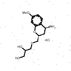 COc1ccc2c(c1)O[C@H](COCC(O)CO)C[C@@H]2N.Cl